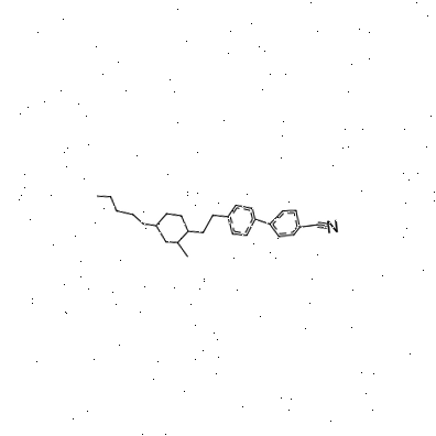 CCCCCC1CCC(CCc2ccc(-c3ccc(C#N)cc3)cc2)C(C)C1